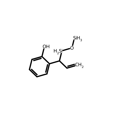 C=CC([SiH2]O[SiH3])c1ccccc1O